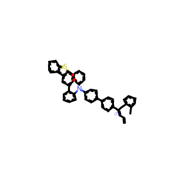 C=C/C=C(/c1ccc(-c2ccc(N(c3ccccc3)c3ccccc3-c3ccc4sc5ccccc5c4c3)cc2)cc1)c1ccccc1C